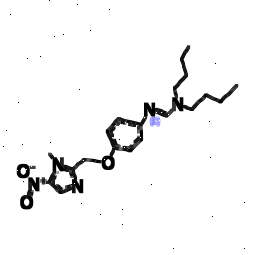 CCCCN(/C=N/c1ccc(OCc2ncc([N+](=O)[O-])n2C)cc1)CCCC